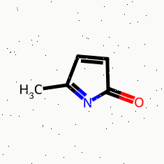 CC1=NC(=O)C=C1